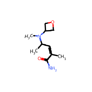 CC(=CC(C)N(C)C1COC1)C(N)=O